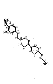 CC(C)CCCC1CCC(C2CCC(CCc3ccc(OC(F)(F)F)c(F)c3)CC2)CC1